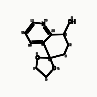 OC1CCC2(OCCO2)c2cccnc21